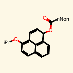 CCCCCCCCCC(=O)OC1C=Cc2c(OC(C)C)ccc3cccc1c23